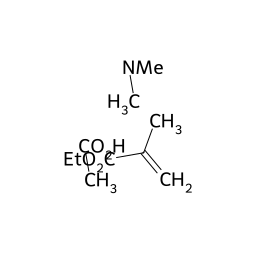 C=C(C)C(=O)OCC.CC(=O)O.CNC